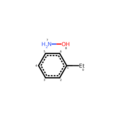 CCc1ccccc1.NO